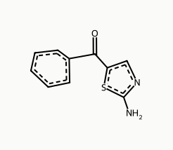 Nc1ncc(C(=O)c2ccccc2)s1